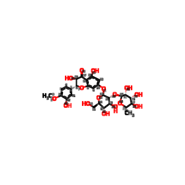 COc1ccc([C@H]2Oc3cc(O[C@@H]4O[C@H](CO)[C@@H](O)[C@H](O)[C@H]4O[C@@H]4O[C@@H](C)[C@H](O)[C@@H](O)[C@H]4O)cc(O)c3C(=O)[C@@H]2O)cc1O